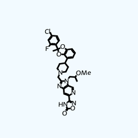 COC(C)Cn1c(CN2CCC(c3cccc4c3OC(C)(c3ccc(Cl)cc3F)O4)CC2)nc2cc(-c3noc(=O)[nH]3)ncc21